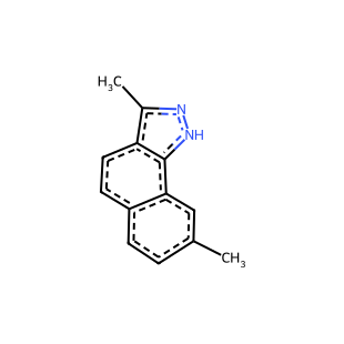 Cc1ccc2ccc3c(C)n[nH]c3c2c1